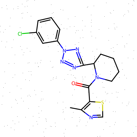 Cc1ncsc1C(=O)N1CCCCC1c1nnn(-c2cccc(Cl)c2)n1